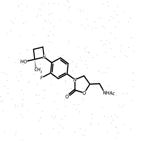 CC(=O)NCC1CN(c2ccc(N3CC[C@]3(C)O)c(F)c2)C(=O)O1